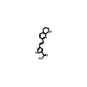 O=C(O)c1cc(/C=C/c2ccc3c(n2)NCCC3)c[nH]1